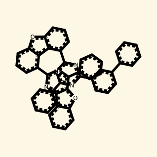 c1ccc(-c2cccc(-c3nc(-c4ccccc4)nc(-c4cccc5oc6cccc(-c7nc(-c8ccccc8)c8oc9ccccc9c8n7)c6c45)n3)c2)cc1